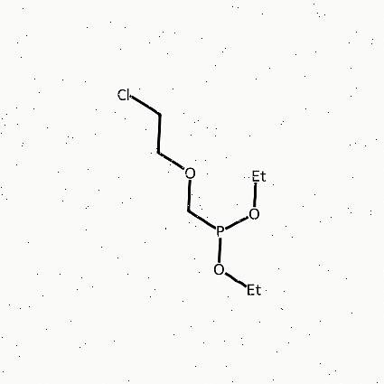 CCOP(COCCCl)OCC